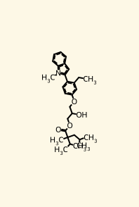 CCc1cc(OCC(O)COC(=O)C(C)(CC(C)C)C(C)C)ccc1-c1cc2ccccc2n1C